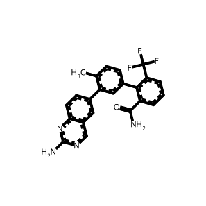 Cc1ccc(-c2c(C(N)=O)cccc2C(F)(F)F)cc1-c1ccc2nc(N)ncc2c1